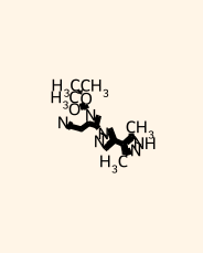 Cc1n[nH]c(C)c1-c1cnn(C2CN(C(=O)OC(C)(C)C)C2CC#N)c1